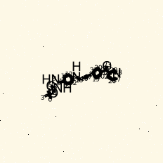 CC(C)(C)OC(=O)NC(=N)c1ccc(NCC#Cc2ccc(C(=O)c3cccnc3)cc2)cc1